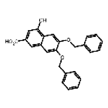 O=C(O)c1cc(O)c2cc(OCc3ccccc3)c(OCc3ccccc3)cc2c1